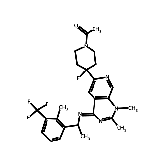 CC(=O)N1CCC(F)(c2cc3c(=NC(C)c4cccc(C(F)(F)F)c4C)nc(C)n(C)c3cn2)CC1